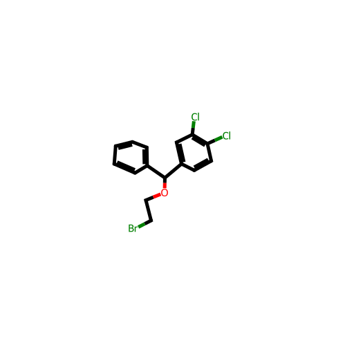 Clc1ccc(C(OCCBr)c2ccccc2)cc1Cl